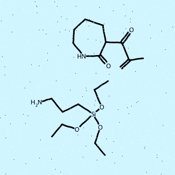 C=C(C)C(=O)C1CCCCNC1=O.CCO[Si](CCCN)(OCC)OCC